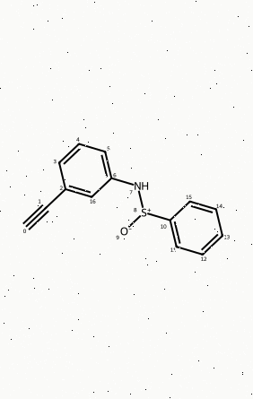 C#Cc1cccc(N[S+]([O-])c2ccccc2)c1